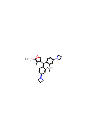 Cc1c(C2=C3C=CC(=[N+]4CCC4)C=C3[Si](C)(C)c3cc(N4CCC4)ccc32)coc1C(=O)O